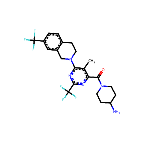 Cc1c(C(=O)N2CCC(N)CC2)nc(C(F)(F)F)nc1N1CCc2ccc(C(F)(F)F)cc2C1